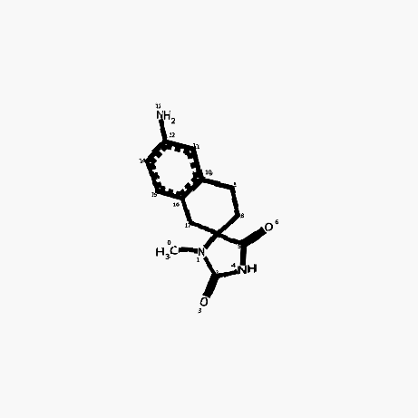 CN1C(=O)NC(=O)C12CCc1cc(N)ccc1C2